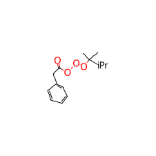 CC(C)C(C)(C)OOOC(=O)Cc1ccccc1